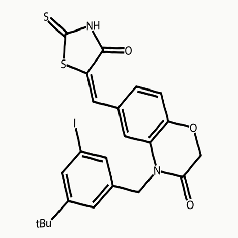 CC(C)(C)c1cc(I)cc(CN2C(=O)COc3ccc(/C=C4/SC(=S)NC4=O)cc32)c1